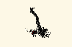 Cc1ccc(C(NCCCCC(NC(=O)C(Cc2ccccc2)NC(=O)CCOCCOCCOCCOCCOCCOCCN=[N+]=[N-])C(=O)Nc2ccc(C(O)C(=O)O)cc2)(c2ccccc2)c2ccccc2)cc1